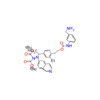 CCc1cc(C(C(=O)O)N(c2ccc3cnccc3c2)N(C(=O)OC(C)(C)C)C(=O)OC(C)(C)C)ccc1CCOC(=O)Nc1cccc(CN)c1